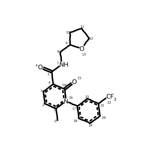 Cc1ccc(C(=O)NCC2CCCO2)c(=O)n1-c1cccc(C(F)(F)F)c1